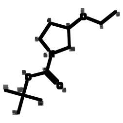 CCOC1CCN(C(=O)OC(C)(C)C)C1